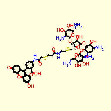 NCC1O[C@@H](O[C@@H]2C(N)C[C@@H](N)C(O)[C@H]2O[C@@H]2O[C@H](CSCCNC(=O)CCSCC(=O)Nc3ccc(-c4c5ccc(=O)cc-5oc5cc(O)ccc45)c(C(=O)O)c3)[C@H](O[C@H]3O[C@@H](CN)[C@@H](O)C(O)C3N)C2O)C(N)[C@@H](O)[C@@H]1O